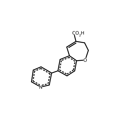 O=C(O)C1=Cc2cc(-c3cccnc3)ccc2OCC1